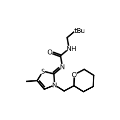 Cc1cn(CC2CCCCO2)c(=NC(=O)NCC(C)(C)C)s1